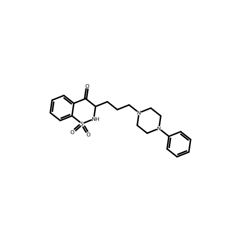 O=C1c2ccccc2S(=O)(=O)NC1CCCN1CCN(c2ccccc2)CC1